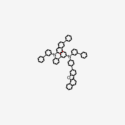 c1ccc(-c2cccc(N(c3ccc(-c4ccc5c(c4)oc4c6ccccc6ccc54)cc3)c3cccc(-c4ccccc4N(c4cccc(-c5ccccc5)c4)c4ccc5cc(-c6ccccc6)ccc5c4)c3)c2)cc1